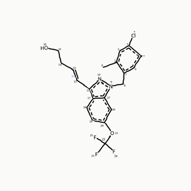 Cc1cc(Cl)ccc1Cn1nc(/C=C/CCO)c2ccc(OC(F)(F)F)cc21